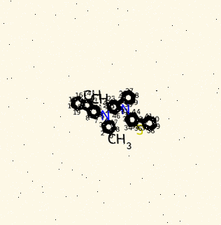 Cc1ccc(N(c2ccc3c(c2)C(C)(C)c2ccccc2-3)c2ccc3c4ccccc4n(-c4ccc5sc6ccccc6c5c4)c3c2)cc1